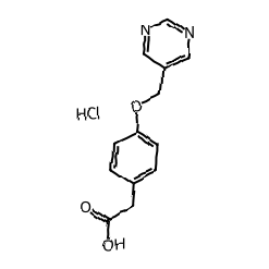 Cl.O=C(O)Cc1ccc(OCc2cncnc2)cc1